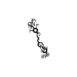 CC(C)Oc1cnc(N2CCC(CCCOc3cc(F)c(-c4noc(C(C)C)n4)c(F)c3)CC2)nc1